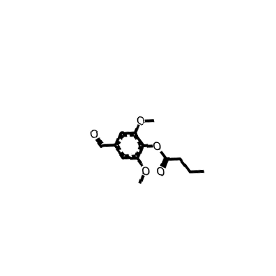 CCCC(=O)Oc1c(OC)cc(C=O)cc1OC